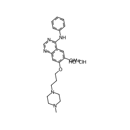 COc1cc2c(Nc3ccccc3)ncnc2cc1OCCCN1CCN(C)CC1.Cl.Cl